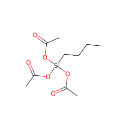 [CH2]CCC[Si](OC(C)=O)(OC(C)=O)OC(C)=O